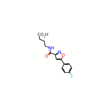 O=C(O)CCCNC(=O)c1cc(-c2ccc(F)cc2)on1